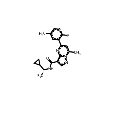 Cc1cnc(F)c(-c2cc(C)n3ncc(C(=O)N[C@@H](C4CC4)C(F)(F)F)c3n2)c1